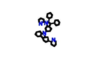 c1ccc(-c2c(-c3ccccc3)n(-c3ccccn3)c3cc(-n4c5ccccc5c5ccc(-c6ccccn6)cc54)ccc23)cc1